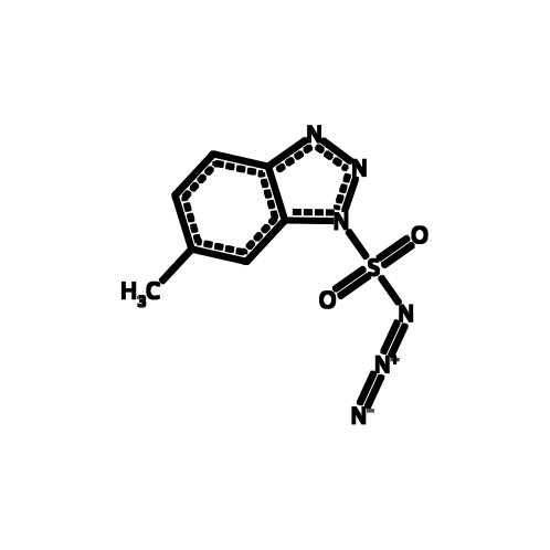 Cc1ccc2nnn(S(=O)(=O)N=[N+]=[N-])c2c1